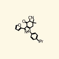 CC(C)c1ccc(-n2nc(-c3ccco3)c3c2CC(C)(C)C(C#N)C3=O)cc1